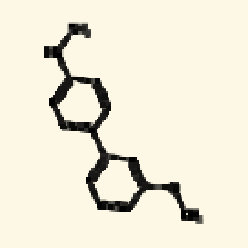 COc1cccc(-c2ccc(NN)cc2)c1